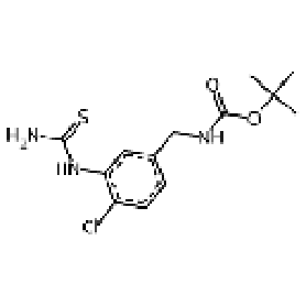 CC(C)(C)OC(=O)NCc1ccc(Cl)c(NC(N)=S)c1